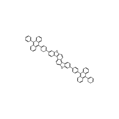 C1=CCCC(c2c3ccccc3c(-c3ccc(-c4ccc5c(c4)sc4ccc6c(ccc7sc8cc(C9=CC=C(c%10c%11ccccc%11c(-c%11ccccc%11)c%11ccccc%10%11)CC9)ccc8c76)c45)cc3)c3ccccc23)=C1